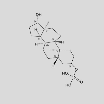 C[C@]12CC[C@H]3[C@@H](CC[C@H]4C[C@@H](OP(=O)(O)O)CC[C@@]43C)[C@H]1CC[C@@H]2O